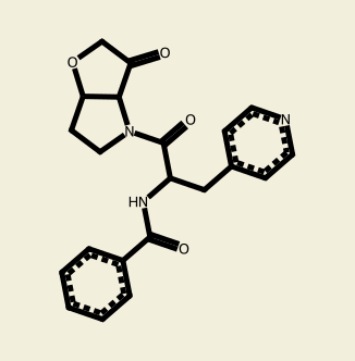 O=C(NC(Cc1ccncc1)C(=O)N1CCC2OCC(=O)C21)c1ccccc1